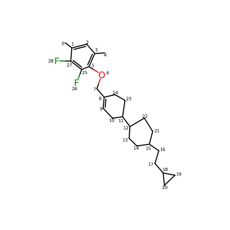 Cc1cc(C)c(OCC2=CCC(C3CCC(CCC4CC4)CC3)CC2)c(F)c1F